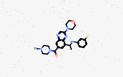 CCN1CCN(C(=O)c2cc(C(C)Nc3cccc(F)c3)c3nc(N4CCOCC4)cnc3c2)CC1